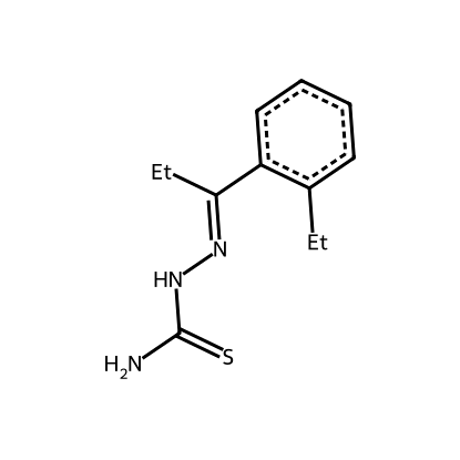 CCC(=NNC(N)=S)c1ccccc1CC